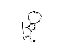 CC(C)(C)c1c2c(cn1C(=O)O)CC/C=C\CC2